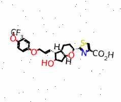 O=C(O)c1csc([C@H]2CC[C@@H]3[C@@H](/C=C/COc4ccc(OC(F)(F)F)cc4)[C@H](O)C[C@@H]3O2)n1